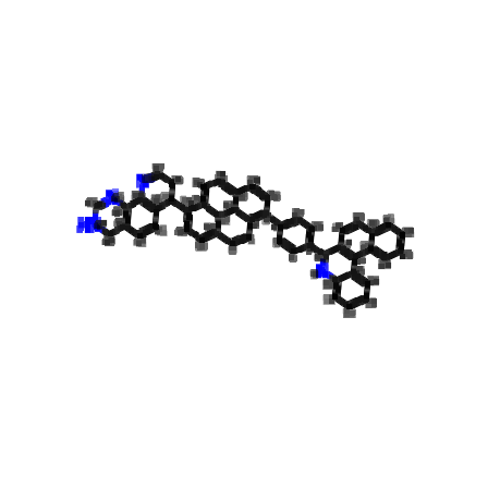 C1=CC2=C(c3ccc(-c4nc5ccccc5c5c4ccc4ccccc45)cc3)C=CC3=CC=C4C(C5CC=Nc6c5ccc5c6N=CNC5)=CC=C1C4C32